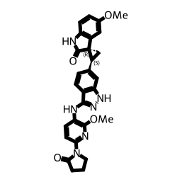 COc1ccc2c(c1)[C@]1(C[C@H]1c1ccc3c(Nc4ccc(N5CCCC5=O)nc4OC)n[nH]c3c1)C(=O)N2